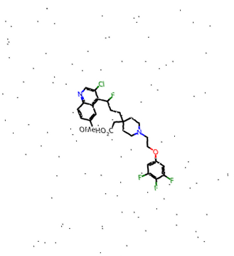 COc1ccc2ncc(Cl)c(C(F)CCC3(CC(=O)O)CCN(CCOc4cc(F)c(F)c(F)c4)CC3)c2c1